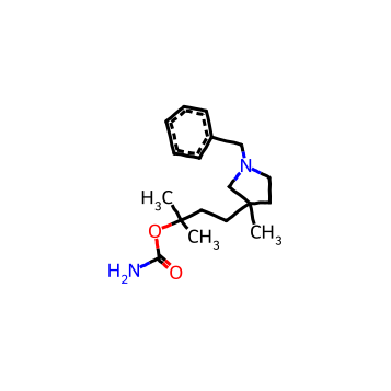 CC1(CCC(C)(C)OC(N)=O)CCN(Cc2ccccc2)C1